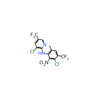 Cc1cc(C(F)(F)F)c(Cl)c([N+](=O)[O-])c1Nc1ncc(C(F)(F)F)cc1Cl